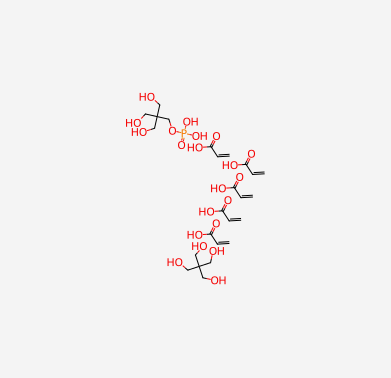 C=CC(=O)O.C=CC(=O)O.C=CC(=O)O.C=CC(=O)O.C=CC(=O)O.O=P(O)(O)OCC(CO)(CO)CO.OCC(CO)(CO)CO